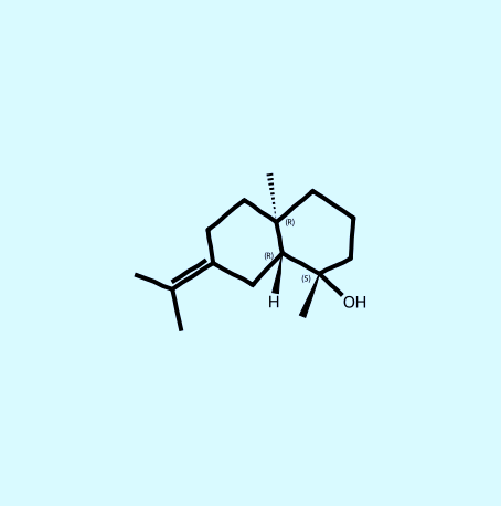 CC(C)=C1CC[C@@]2(C)CCC[C@](C)(O)[C@@H]2C1